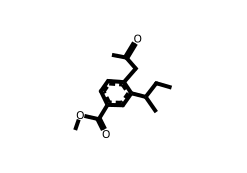 CCC(C)c1cc(C(=O)OC)ccc1CC(C)=O